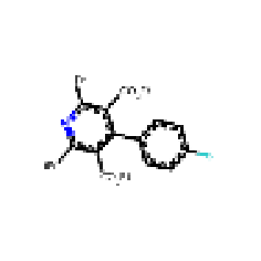 CCOC(=O)c1c(C(C)C)nc(C(C)C)c(C(=O)OCC)c1-c1ccc(F)cc1